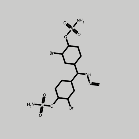 C=NNC(C1CCC(OS(N)(=O)=O)C(Br)C1)C1CCC(OS(N)(=O)=O)C(Br)C1